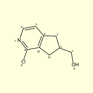 OCC1Cc2ccnc(Cl)c2C1